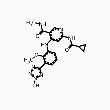 CNC(=O)c1cnc(NC(=O)C2CC2)cc1Nc1cccc(-c2nnn(C)n2)c1OC